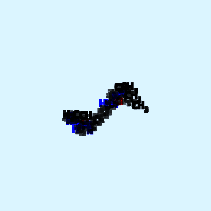 C=C(/C=C\C=C/C)[C@H](C(=O)N1CCC[C@H]1c1ncc(-c2ccc(-c3ccc(-c4cnc([C@@H]5CCCN5C(=O)[C@H](Nc5ncccn5)C(C)C)[nH]4)cc3)cc2)[nH]1)N(CC)CC